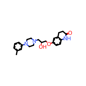 Cc1cccc(N2CCN(C[C@H](O)COc3ccc4c(c3)CCC(=O)N4)CC2)c1